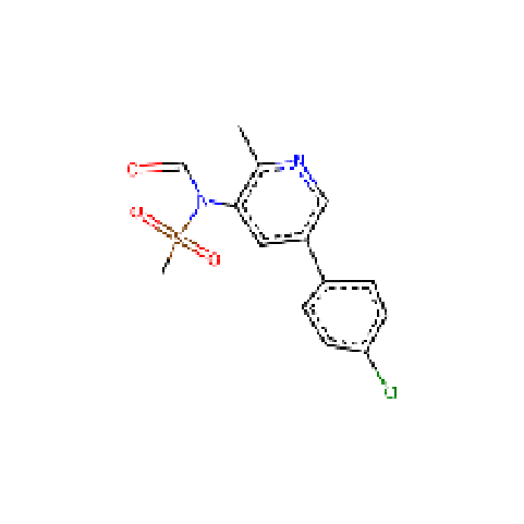 Cc1ncc(-c2ccc(Cl)cc2)cc1N(C=O)S(C)(=O)=O